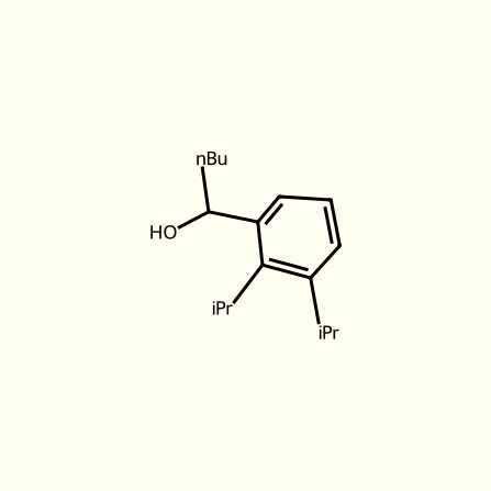 CCCCC(O)c1cccc(C(C)C)c1C(C)C